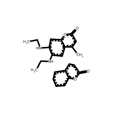 CCNc1cc2oc(=O)cc(C)c2cc1NCC.O=c1ccc2ccccc2o1